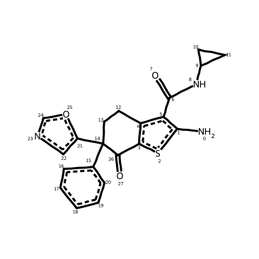 Nc1sc2c(c1C(=O)NC1CC1)CCC(c1ccccc1)(c1cnco1)C2=O